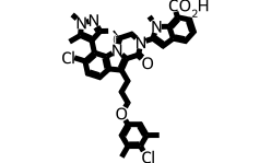 Cc1cc(OCCCc2c3n(c4c(-c5c(C)nn(C)c5C)c(Cl)ccc24)[C@H](C)CN(c2cc4cccc(C(=O)O)c4n2C)C3=O)cc(C)c1Cl